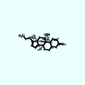 CCSC1=CC=C2[C@@H]3CCC4CC(=O)C=C[C@]4(C)[C@@]3(F)[C@@H](O)C[C@]12C